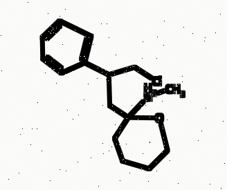 C[SiH2]C1(CC(CCl)c2ccccc2)CCCCO1